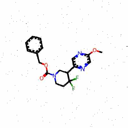 COc1cnc(C2CN(C(=O)OCc3ccccc3)CCC2(F)F)cn1